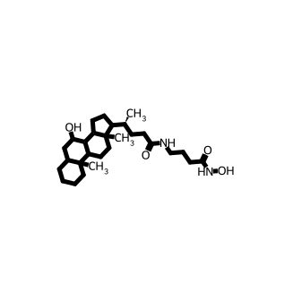 C[C@H](CCC(=O)NCCCC(=O)NO)C1CCC2C3C(O)CC4CCCCC4(C)C3CCC21C